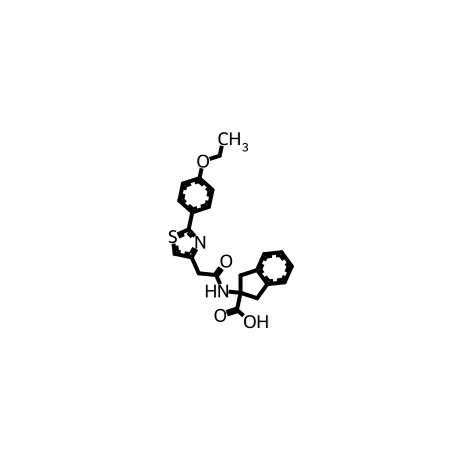 CCOc1ccc(-c2nc(CC(=O)NC3(C(=O)O)Cc4ccccc4C3)cs2)cc1